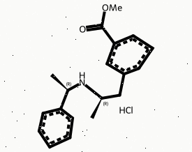 COC(=O)c1cccc(C[C@@H](C)N[C@H](C)c2ccccc2)c1.Cl